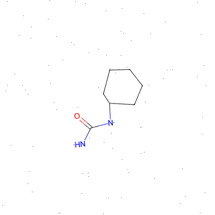 [NH]C(=O)[N]C1CCCCC1